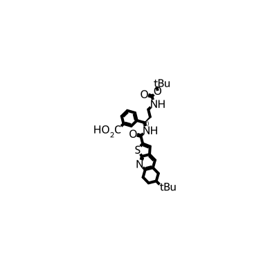 CC(C)(C)OC(=O)NCC[C@@H](NC(=O)c1cc2cc3c(nc2s1)CCC(C(C)(C)C)C3)c1cccc(C(=O)O)c1